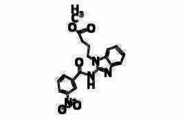 COC(=O)CCCn1c(NC(=O)c2cccc([N+](=O)[O-])c2)nc2ccccc21